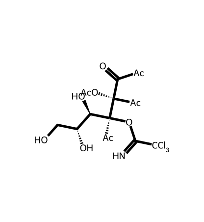 CC(=O)O[C@@](C(C)=O)(C(=O)C(C)=O)[C@](OC(=N)C(Cl)(Cl)Cl)(C(C)=O)[C@H](O)[C@H](O)CO